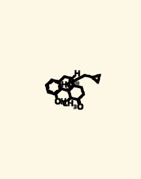 CC1C(=O)CC[C@@]2(O)[C@H]3Cc4cccc(O)c4[C@@]12CCN3CC1CC1